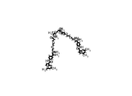 Cc1cc(C)n2ccc(C(=O)Nc3ccc(/C(N)=C/N(N)CCOCCOCCC(=O)NCC(C)(C)OCCC(C)(C)NC(=O)CCOCCOCCN(N)/C=C(\N)c4ccc(NC(=O)c5ccn6c(C)cc(C)nc56)cc4)cc3)c2n1